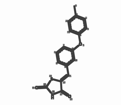 Cc1ccc(Oc2cccc(/C=C3\SC(=O)NC3=O)c2)cc1